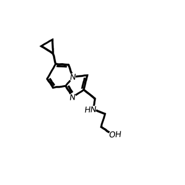 OCCNCc1cn2cc(C3CC3)ccc2n1